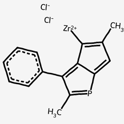 CC1=PC2=CC(C)=[C]([Zr+2])C2=C1c1ccccc1.[Cl-].[Cl-]